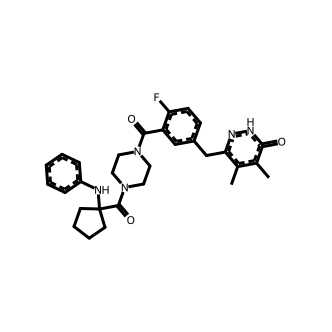 Cc1c(Cc2ccc(F)c(C(=O)N3CCN(C(=O)C4(Nc5ccccc5)CCCC4)CC3)c2)n[nH]c(=O)c1C